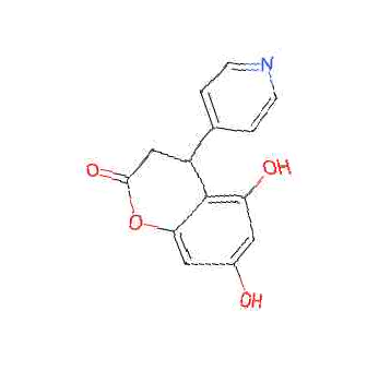 O=C1CC(c2ccncc2)c2c(O)cc(O)cc2O1